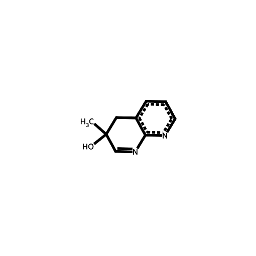 CC1(O)C=Nc2ncccc2C1